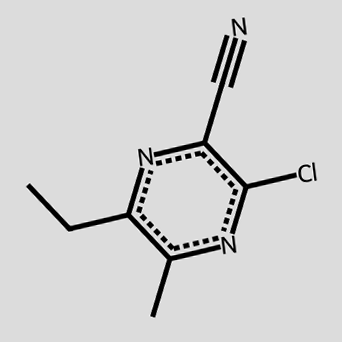 CCc1nc(C#N)c(Cl)nc1C